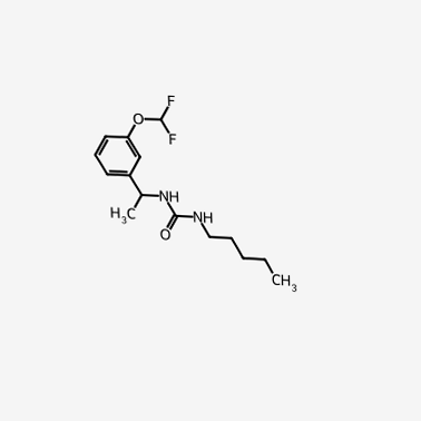 CCCCCNC(=O)NC(C)c1cccc(OC(F)F)c1